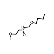 CCCCOCC[PH](=O)CCOI